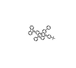 CC(C)(C)c1ccc(N2c3cc(-c4ccccc4)ccc3B3c4ccc(-n5c6ccccc6c6ccccc65)cc4N(c4ccccc4)c4cccc2c43)cc1